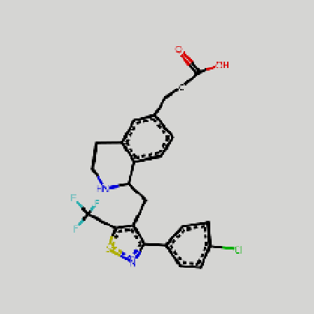 O=C(O)CCc1ccc2c(c1)CCNC2Cc1c(-c2ccc(Cl)cc2)nsc1C(F)(F)F